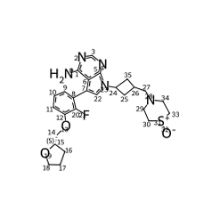 Nc1ncnc2c1c(-c1cccc(OC[C@@H]3CCCO3)c1F)cn2C1CC(CN2CC[S+]([O-])CC2)C1